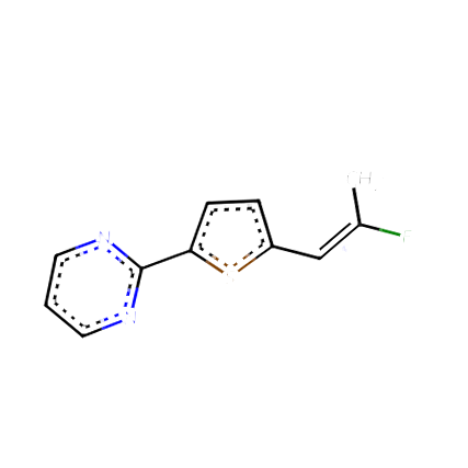 [CH2]/C(F)=C\c1ccc(-c2ncccn2)s1